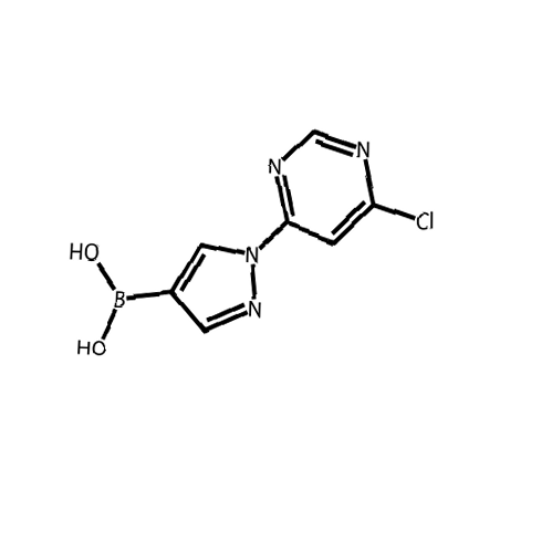 OB(O)c1cnn(-c2cc(Cl)ncn2)c1